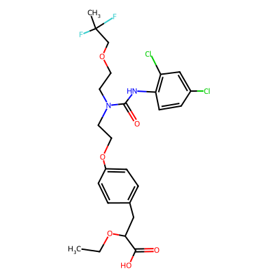 CCOC(Cc1ccc(OCCN(CCOCC(C)(F)F)C(=O)Nc2ccc(Cl)cc2Cl)cc1)C(=O)O